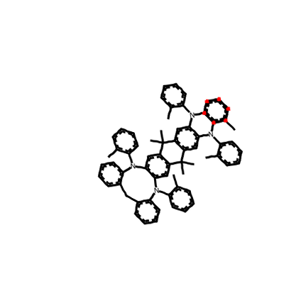 Cc1ccccc1N(c1ccccc1)c1cc2c(cc1N(c1ccccc1C)c1ccccc1C)C(C)(C)c1cc3c(cc1C2(C)C)N(c1ccccc1C)c1ccccc1Cc1ccccc1N3c1ccccc1C